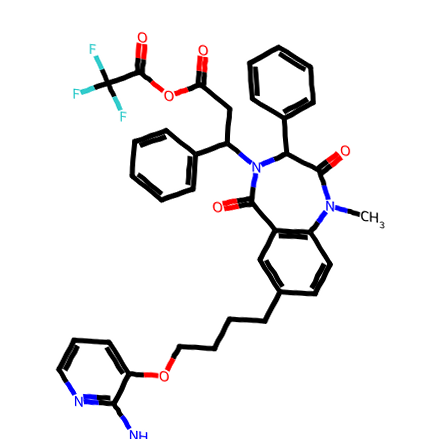 CN1C(=O)C(c2ccccc2)N(C(CC(=O)OC(=O)C(F)(F)F)c2ccccc2)C(=O)c2cc(CCCCOc3cccnc3N)ccc21